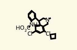 C1CCC1.CN1Cc2c(Cl)cc(Cl)cc2C(c2ccccc2NC(=O)O)C1